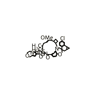 COC1/C=C/CC(C)C(C)S(=O)(NC(=O)c2cc3n(c2)CCOC3)=NC(=O)c2ccc3c(c2)N(CC2CCC21)CC1(CO3)CC2CC2c2cc(Cl)ccc21